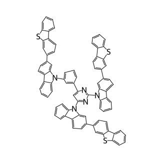 c1cc(-c2cc(-n3c4ccccc4c4ccc(-c5ccc6c(c5)sc5ccccc56)cc43)nc(-n3c4ccccc4c4ccc(-c5ccc6c(c5)sc5ccccc56)cc43)n2)cc(-n2c3ccccc3c3ccc(-c4ccc5c(c4)sc4ccccc45)cc32)c1